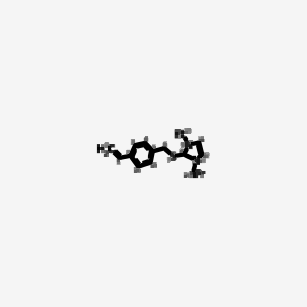 C=Cc1ccc(CSC2N(CC)C=CN2CCC)cc1